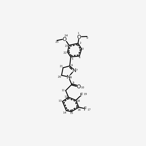 COc1ccc(C2=NN(C(=O)Cc3cccc(F)c3F)CC2)cc1OC